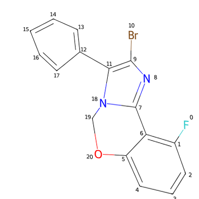 Fc1cccc2c1-c1nc(Br)c(-c3ccccc3)n1CO2